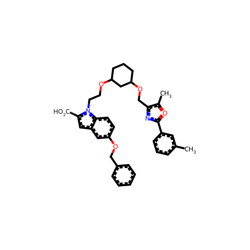 Cc1cccc(-c2nc(COC3CCCC(OCCn4c(C(=O)O)cc5cc(OCc6ccccc6)ccc54)C3)c(C)o2)c1